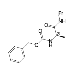 CC(C)NC(=O)[C@@H](C)NC(=O)OCc1ccccc1